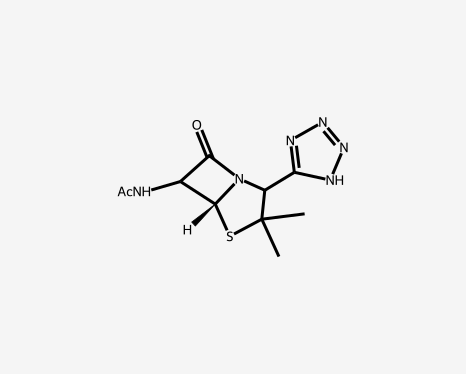 CC(=O)NC1C(=O)N2C(c3nnn[nH]3)C(C)(C)S[C@H]12